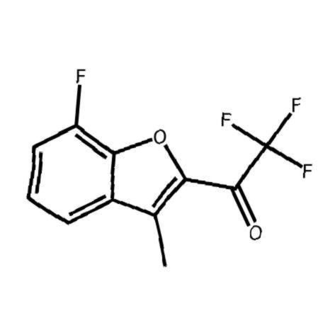 Cc1c(C(=O)C(F)(F)F)oc2c(F)cccc12